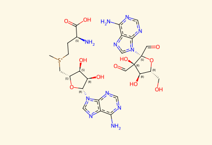 C[S+](CC[C@H](N)C(=O)O)C[C@H]1O[C@@H](n2cnc3c(N)ncnc32)[C@H](O)[C@@H]1O.Nc1ncnc2c1ncn2[C@]1(C=O)O[C@H](CO)[C@@H](O)[C@]1(O)C=O